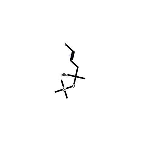 CCCCC(C)(C/C=C/I)O[Si](C)(C)C